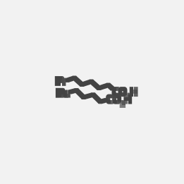 CC(C)CCCCCC(=O)O.CCC(C)CCCCC(=O)O